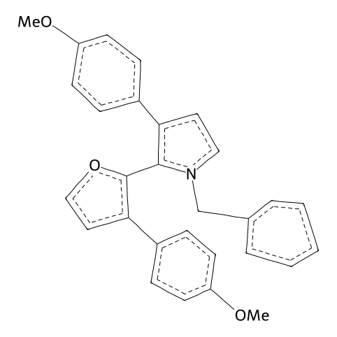 COc1ccc(-c2ccoc2-c2c(-c3ccc(OC)cc3)ccn2Cc2ccccc2)cc1